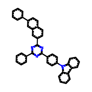 c1ccc(-c2ccc3ccc(-c4nc(-c5ccccc5)nc(-c5ccc(-n6c7ccccc7c7ccccc76)cc5)n4)cc3c2)cc1